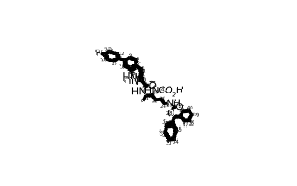 CC(NC(=O)c1cc2ccc(-c3ccc(F)cc3)cc2[nH]1)C(CCCNC(=O)OC(c1ccccc1)c1ccccc1)NC(=O)O